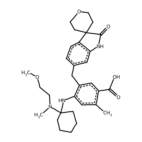 COCCN(C)C1(Nc2cc(C)c(C(=O)O)cc2Cc2ccc3c(c2)NC(=O)C32CCOCC2)CCCCC1